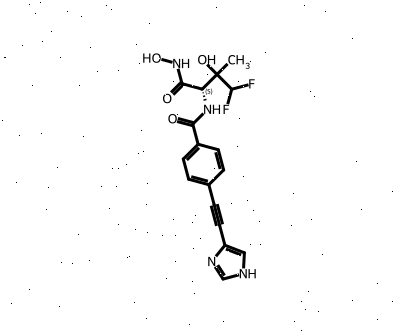 CC(O)(C(F)F)[C@H](NC(=O)c1ccc(C#Cc2c[nH]cn2)cc1)C(=O)NO